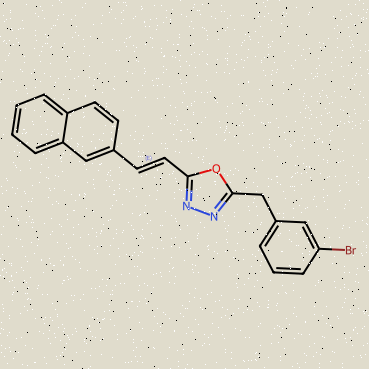 Brc1cccc(Cc2nnc(/C=C/c3ccc4ccccc4c3)o2)c1